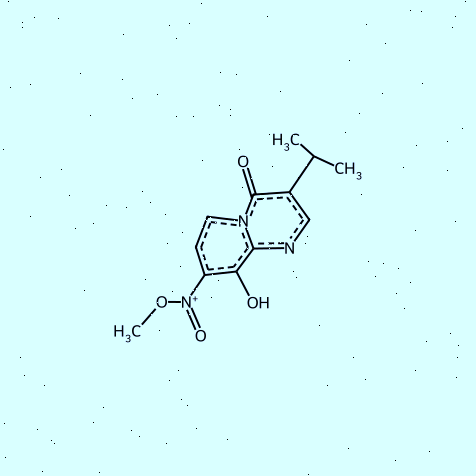 CO[N+](=O)c1ccn2c(=O)c(C(C)C)cnc2c1O